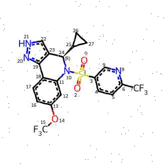 O=S(=O)(c1ccc(C(F)(F)F)nc1)N1c2cc(OC(F)(F)F)ccc2-c2n[nH]cc2[C@H]1C1CC1